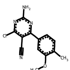 COc1cc(-c2nc(N)nc(Cl)c2C#N)ccc1C